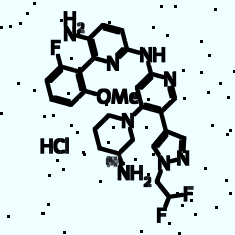 COc1cccc(F)c1-c1nc(Nc2cc(N3CCC[C@H](N)C3)c(-c3cnn(CC(F)F)c3)cn2)ccc1N.Cl